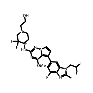 COc1nc(N[C@@H]2CCN(CCO)CC2(F)F)nn2ccc(-c3cc(F)c4nc(C)n(CC(F)F)c4c3)c12